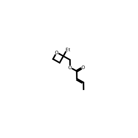 CC=CC(=O)OCC1(CC)CCO1